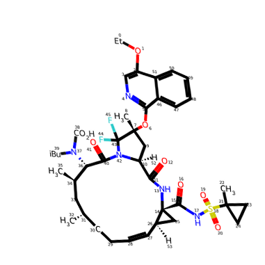 CCOc1cnc(O[C@]2(C)C[C@H]3C(=O)N[C@]4(C(=O)NS(=O)(=O)C5(C)CC5)C[C@H]4/C=C\CC[C@H](C)C[C@@H](C)[C@H](N(C(=O)O)C(C)CC)C(=O)N3C2(F)F)c2ccccc12